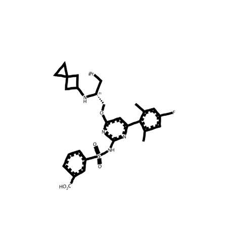 Cc1cc(F)cc(C)c1-c1cc(OC[C@@H](CC(C)C)NC2CC3(CC3)C2)nc(NS(=O)(=O)c2cccc(C(=O)O)c2)n1